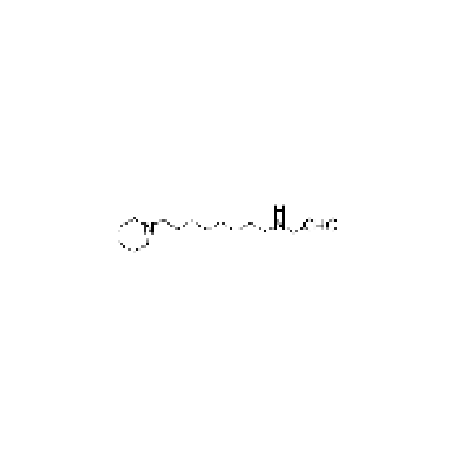 O=CCNCCCCCCCCN1CCCCC1